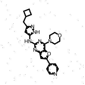 c1cc(-c2cc3nc(Nc4cc(CC5CCC5)n[nH]4)nc(N4CCOCC4)c3o2)ccn1